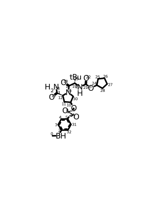 CBc1ccc(S(=O)(=O)OC2C[C@@H](C(N)=O)N(C(=O)[C@@H](NC(=O)OC3CCCC3)C(C)(C)C)C2)cc1